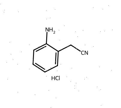 Cl.N#CCc1ccccc1N